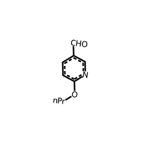 CCCOc1ccc(C=O)cn1